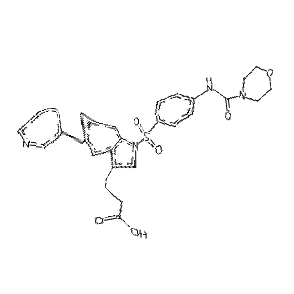 O=C(O)CCc1cn(S(=O)(=O)c2ccc(NC(=O)N3CCOCC3)cc2)c2ccc(-c3cccnc3)cc12